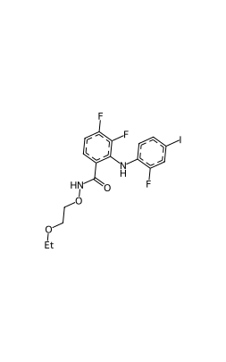 CCOCCONC(=O)c1ccc(F)c(F)c1Nc1ccc(I)cc1F